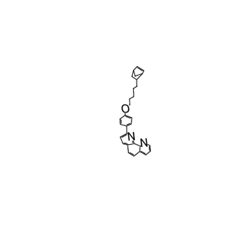 C1=CC2CC1CC2CCCCCOc1ccc(-c2ccc3ccc4cccnc4c3n2)cc1